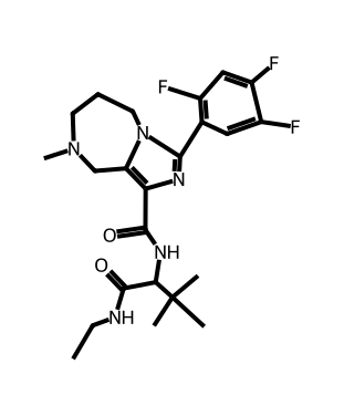 CCNC(=O)C(NC(=O)c1nc(-c2cc(F)c(F)cc2F)n2c1CN(C)CCC2)C(C)(C)C